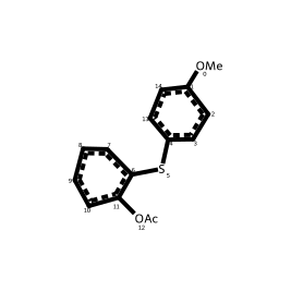 COc1ccc(Sc2ccccc2OC(C)=O)cc1